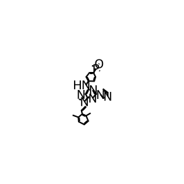 Cc1cccc(C)c1C=Cn1cnc2c(Nc3ccc(P(C)(C)=O)cc3)nc(-n3ccnc3)nc21